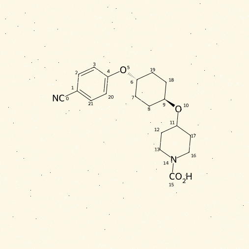 N#Cc1ccc(O[C@H]2CC[C@H](OC3CCN(C(=O)O)CC3)CC2)cc1